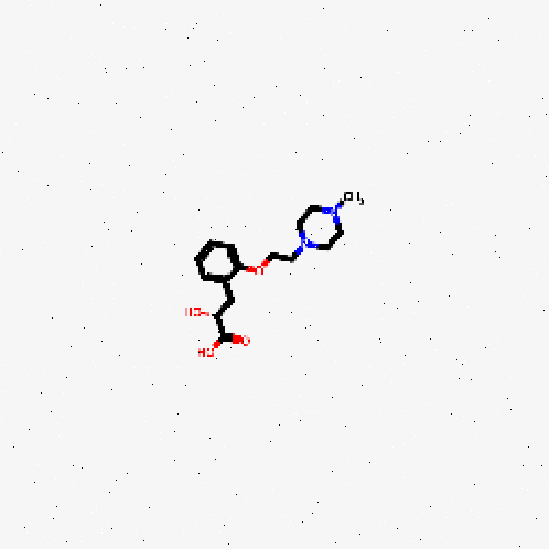 CN1CCN(CCOc2ccccc2C[C@@H](O)C(=O)O)CC1